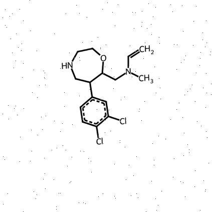 C=CN(C)CC1OCCNCC1c1ccc(Cl)c(Cl)c1